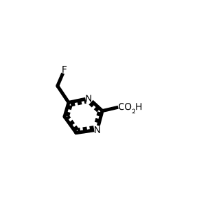 O=C(O)c1nccc(CF)n1